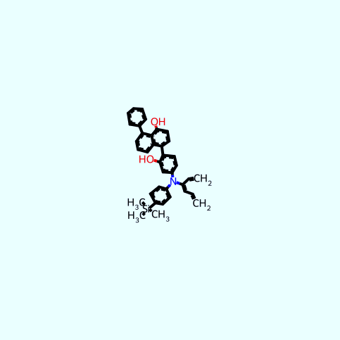 C=C/C=C(\C=C)N(c1ccc([Si](C)(C)C)cc1)c1ccc(-c2ccc(O)c3c(-c4ccccc4)cccc23)c(O)c1